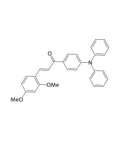 COc1ccc(C=CC(=O)c2ccc(N(c3ccccc3)c3ccccc3)cc2)c(OC)c1